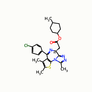 Cc1sc2c(c1C)C(c1ccc(Cl)cc1)=N[C@@H](CC(=O)OC1CCC(C)CC1)c1nnc(C)n1-2